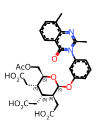 CC(=O)OC[C@H]1O[C@@H](Oc2cccc(-n3c(C)nc4c(C)cccc4c3=O)c2)[C@@H](CC(=O)O)[C@H](CC(=O)O)[C@@H]1CC(=O)O